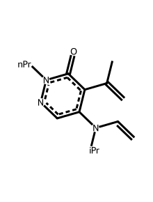 C=CN(c1cnn(CCC)c(=O)c1C(=C)C)C(C)C